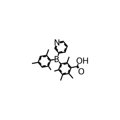 Cc1cc(C)c(B(c2cccnc2)c2c(C)c(C)c(C)c(C(=O)O)c2C)c(C)c1